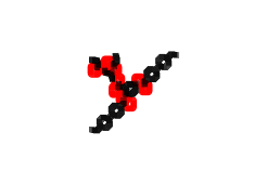 C=CC(=O)OCC(COC(=O)c1cc(OC(=O)C2CCC(C3CCC(CC)CC3)CC2)ccc1OC(=O)C1CCC(C2CCC(CC)CC2)CC1)OC(=O)C=C